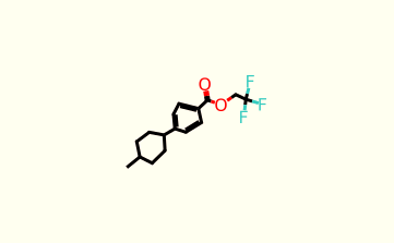 CC1CCC(c2ccc(C(=O)OCC(F)(F)F)cc2)CC1